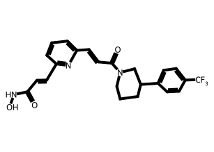 O=C(C=Cc1cccc(C=CC(=O)N2CCCC(c3ccc(C(F)(F)F)cc3)C2)n1)NO